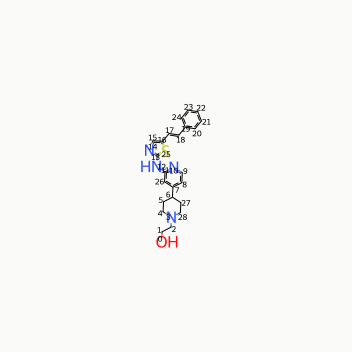 OCCN1CCC(c2ccnc(Nc3ncc(C=Cc4ccccc4)s3)c2)CC1